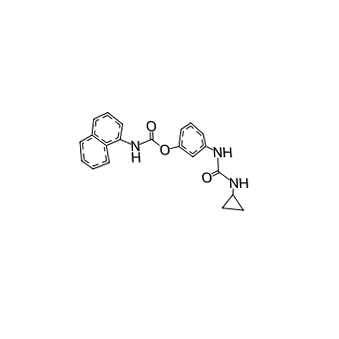 O=C(Nc1cccc(OC(=O)Nc2cccc3ccccc23)c1)NC1CC1